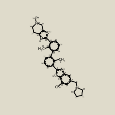 Cc1c(-c2nc3cc(CN4CCCC4)cc(Cl)c3o2)cccc1-c1cccc(-c2nc3c(s2)CN(C(C)C)CC3)c1C